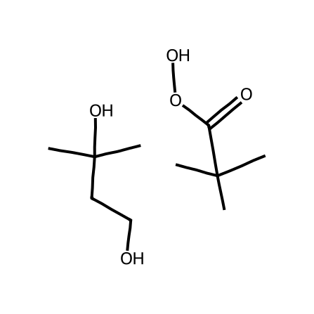 CC(C)(C)C(=O)OO.CC(C)(O)CCO